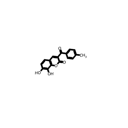 Cc1ccc(C(=O)c2cc3ccc(O)c(O)c3oc2=O)cc1